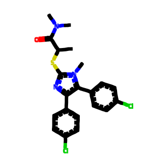 CC(Sc1nc(-c2ccc(Cl)cc2)c(-c2ccc(Cl)cc2)n1C)C(=O)N(C)C